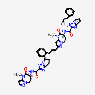 C=CCc1ccccc1[C@@H]1CCc2nc(C(=O)N[C@H]3CCn4nc(/C=C/Cc5ccccc5[C@H]5CCc6nc(C(=O)N[C@H]7CCn8nccc8N(C)C7=O)nn65)cc4N(C)C3=O)nn21